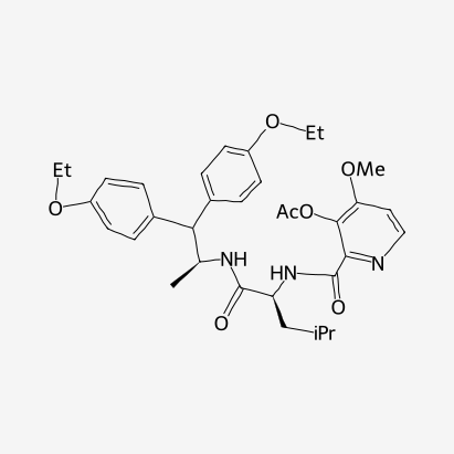 CCOc1ccc(C(c2ccc(OCC)cc2)[C@H](C)NC(=O)[C@H](CC(C)C)NC(=O)c2nccc(OC)c2OC(C)=O)cc1